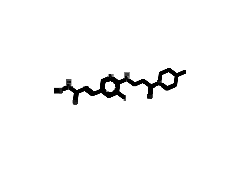 CC1CCN(C(=O)CCNc2ncc(/C=C/C(=O)NO)cc2I)CC1